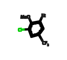 CCc1cc(C(F)(F)F)cc(Cl)c1OC